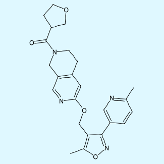 Cc1ccc(-c2noc(C)c2COc2cc3c(cn2)CN(C(=O)C2CCOC2)CC3)cn1